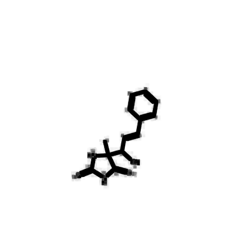 CC1(C(O)C=Cc2ccccc2)NC(=O)NC1=O